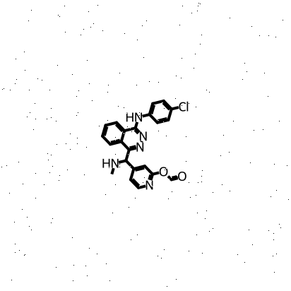 CNC(c1ccnc(OC=O)c1)c1nnc(Nc2ccc(Cl)cc2)c2ccccc12